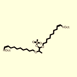 CCCCCCCC/C=C\CCCCCCCCOC(C)C(OCCCCCCCC/C=C\CCCCCCCC)OS(C)(=O)=O